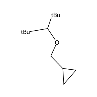 CC(C)(C)C(OCC1CC1)C(C)(C)C